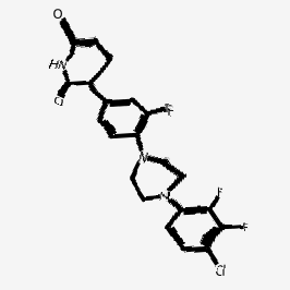 O=C1CCC(c2ccc(N3CCN(c4ccc(Cl)c(F)c4F)CC3)c(F)c2)C(=O)N1